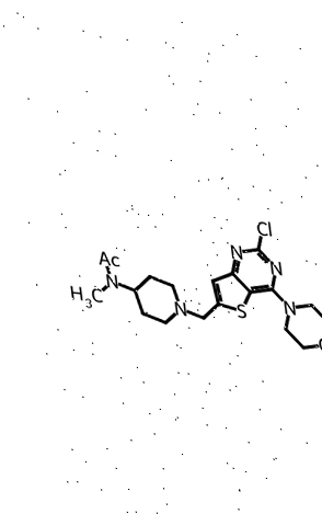 CC(=O)N(C)C1CCN(Cc2cc3nc(Cl)nc(N4CCOCC4)c3s2)CC1